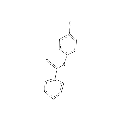 O=C(Sc1ccc(F)cc1)c1ccccc1